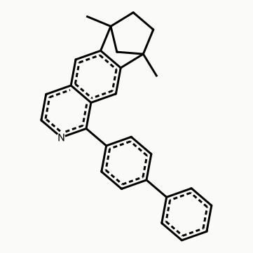 CC12CCC(C)(C1)c1cc3c(-c4ccc(-c5ccccc5)cc4)nccc3cc12